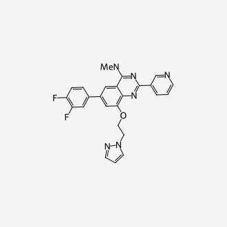 CNc1nc(-c2cccnc2)nc2c(OCCn3cccn3)cc(-c3ccc(F)c(F)c3)cc12